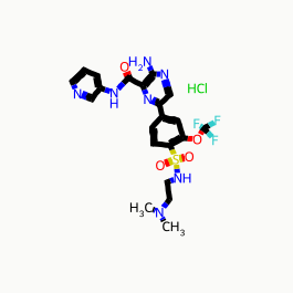 CN(C)CCNS(=O)(=O)c1ccc(-c2cnc(N)c(C(=O)Nc3cccnc3)n2)cc1OC(F)(F)F.Cl